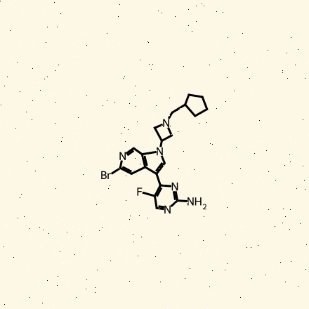 Nc1ncc(F)c(-c2cn(C3CN(CC4CCCC4)C3)c3cnc(Br)cc23)n1